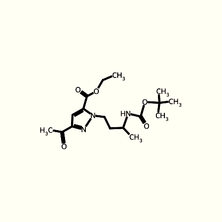 CCOC(=O)c1cc(C(C)=O)nn1CCC(C)NC(=O)OC(C)(C)C